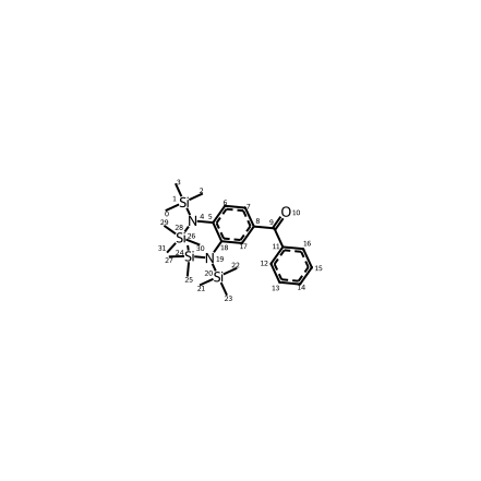 C[Si](C)(C)N(c1ccc(C(=O)c2ccccc2)cc1N([Si](C)(C)C)[Si](C)(C)C)[Si](C)(C)C